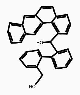 OCc1ccccc1-c1ccccc1C(O)c1cccc2ccc3cc4ccccc4cc3c12